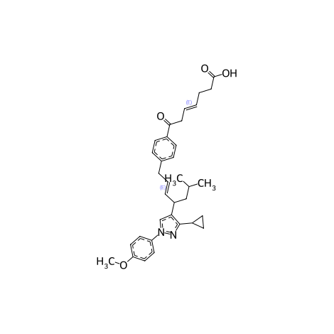 COc1ccc(-n2cc(C(/C=C/Cc3ccc(C(=O)C/C=C/CCC(=O)O)cc3)CC(C)C)c(C3CC3)n2)cc1